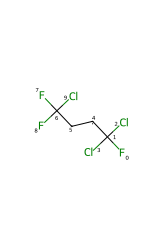 FC(Cl)(Cl)[CH]CC(F)(F)Cl